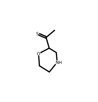 CC(=S)C1CNCCO1